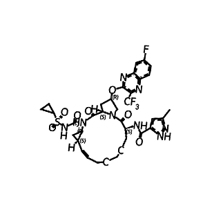 Cc1cc(C(=O)N[C@H]2CCCCCC=C[C@@H]3C[C@@]3(C(=O)NS(=O)(=O)C3CC3)NC(=O)[C@@H]3C[C@@H](Oc4nc5cc(F)ccc5nc4C(F)(F)F)CN3C2=O)[nH]n1